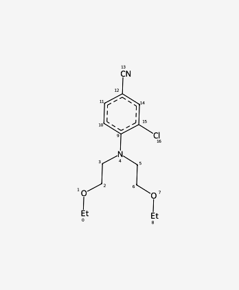 CCOCCN(CCOCC)c1ccc(C#N)cc1Cl